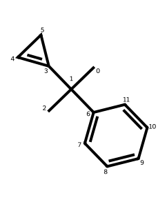 CC(C)(C1=CC1)c1ccccc1